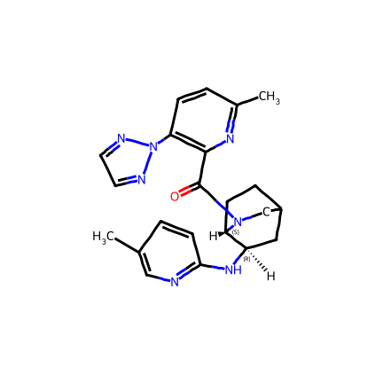 Cc1ccc(N[C@@H]2CC3CC[C@@H]2N(C(=O)c2nc(C)ccc2-n2nccn2)C3)nc1